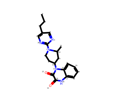 CCCc1cnc(N2CCC(n3c(=O)c(=O)[nH]c4ccccc43)CC2C)nc1